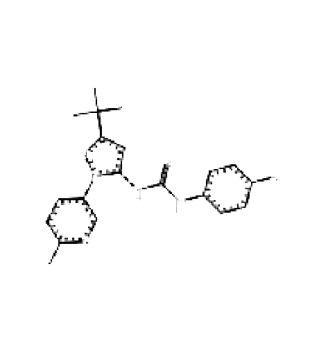 Cc1ccc(-n2nc(C(C)(C)C)cc2NC(=O)Nc2ccc(Cl)cc2)cn1